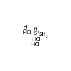 Cl.Cl.Cl.Cl.S.S